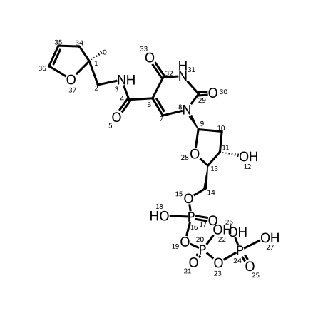 C[C@@]1(CNC(=O)c2cn([C@H]3C[C@H](O)[C@@H](COP(=O)(O)OP(=O)(O)OP(=O)(O)O)O3)c(=O)[nH]c2=O)CC=CO1